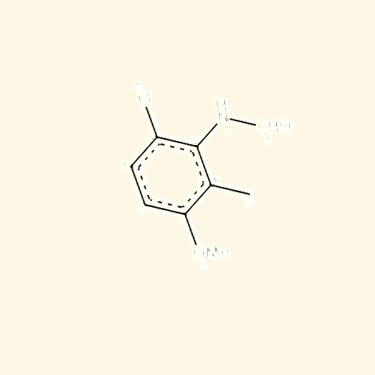 COc1ccc(Cl)c(NC=O)c1C